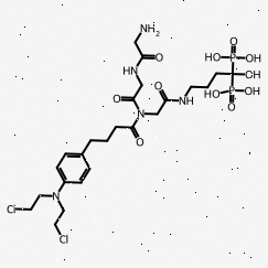 NCC(=O)NCC(=O)N(CC(=O)NCCCC(O)(P(=O)(O)O)P(=O)(O)O)C(=O)CCCc1ccc(N(CCCl)CCCl)cc1